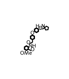 COC(=O)c1ccccc1NC(=O)Cc1ccc(Oc2ccc(OCC3(N)CCCC3)cc2)cc1